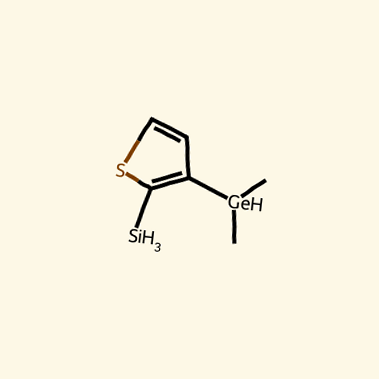 [CH3][GeH]([CH3])[c]1ccsc1[SiH3]